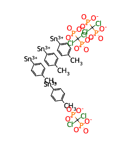 Cc1cc[c]([Sn+3])cc1.Cc1cc[c]([Sn+3])cc1.Cc1cc[c]([Sn+3])cc1.Cc1cc[c]([Sn+3])cc1.O=P([O-])([O-])C(Cl)(Cl)P(=O)([O-])[O-].O=P([O-])([O-])C(Cl)(Cl)P(=O)([O-])[O-].O=P([O-])([O-])C(Cl)(Cl)P(=O)([O-])[O-]